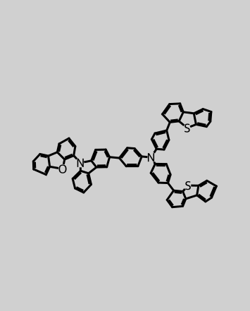 c1ccc2c(c1)oc1c(-n3c4ccccc4c4cc(-c5ccc(N(c6ccc(-c7cccc8c7sc7ccccc78)cc6)c6ccc(-c7cccc8c7sc7ccccc78)cc6)cc5)ccc43)cccc12